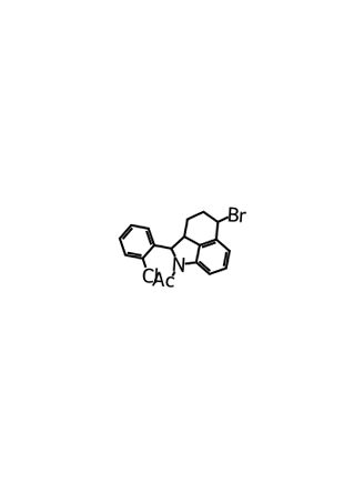 CC(=O)N1c2cccc3c2C(CCC3Br)C1c1ccccc1Cl